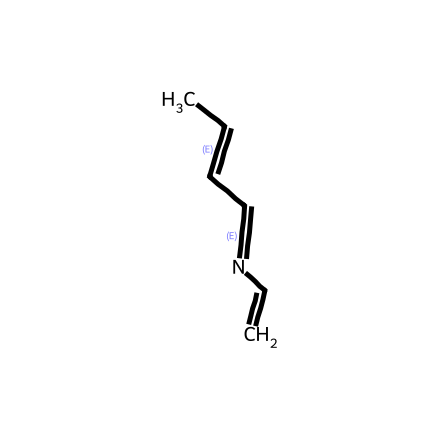 C=C/N=C/C=C/C